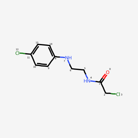 O=C(CCl)NCCNc1ccc(Cl)cc1